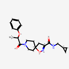 CC(Oc1ccccc1)C(=O)N1CCC2(CC1)CC(C(=O)NCC1CC1)=NO2